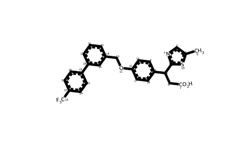 Cc1cnc(C(CC(=O)O)c2ccc(OCc3cccc(-c4ccc(C(F)(F)F)cc4)c3)cc2)s1